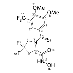 COc1cc(C(=S)N2CC(F)(F)CC2C(=O)NO)cc(C(F)(F)F)c1OC